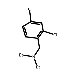 CCN(CC)Cc1ccc(Cl)cc1Cl